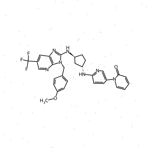 COc1ccc(Cn2c(N[C@H]3CC[C@H](Nc4ccc(-n5ccccc5=O)cn4)C3)nc3cc(C(F)(F)F)cnc32)cc1